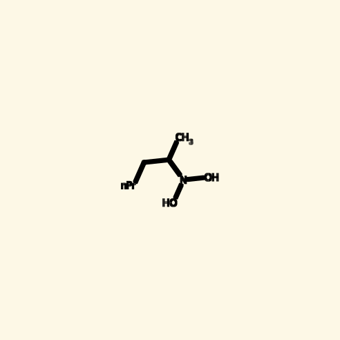 CCCCC(C)N(O)O